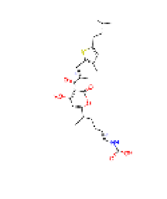 C/C(=C\c1sc(CCC(C)C)cc1C)C(=O)c1c(O)cc(C(C)CC/C=C/NC(=O)O)oc1=O